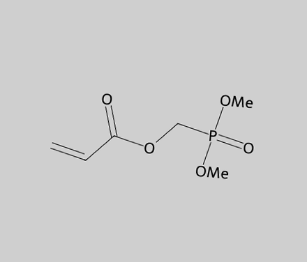 C=CC(=O)OCP(=O)(OC)OC